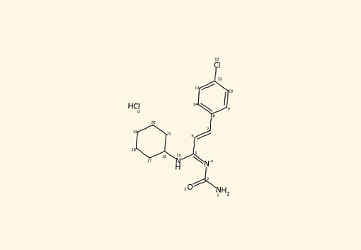 Cl.NC(=O)N=C(C=Cc1ccc(Cl)cc1)NC1CCCCC1